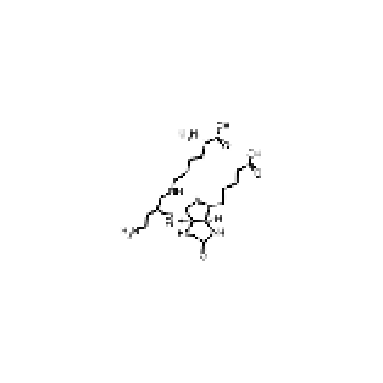 NCC[C@H](O)CNCCCC[C@H](N)C(=O)O.O=C(O)CCCC[C@@H]1SC[C@@H]2NC(=O)N[C@@H]21